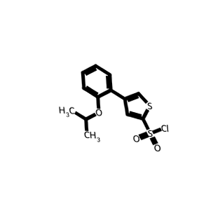 CC(C)Oc1ccccc1-c1csc(S(=O)(=O)Cl)c1